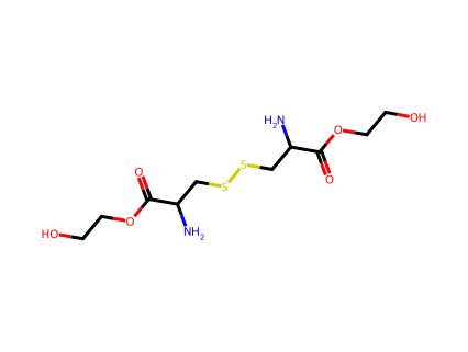 NC(CSSCC(N)C(=O)OCCO)C(=O)OCCO